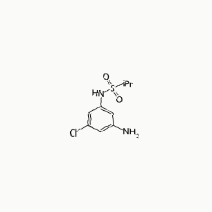 CC(C)S(=O)(=O)Nc1cc(N)cc(Cl)c1